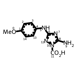 COc1ccc(Nc2nc(N)n(C(=O)O)n2)cc1